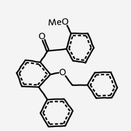 COc1ccccc1C(=O)c1cccc(-c2ccccc2)c1OCc1ccccc1